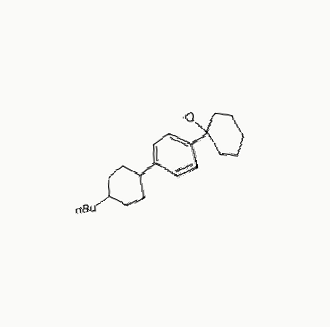 CCCCC1CCC(c2ccc(C3([O])CCCCC3)cc2)CC1